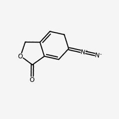 [N-]=[N+]=C1C=C2C(=O)OCC2=CC1